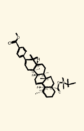 COC(=O)c1ccc(C2=CC[C@]3(C)[C@H]4CC=C5[C@@H]6[C@@H](C)CCC[C@]6(C(=O)O[Si](C)(C)C(C)(C)C)CC[C@@]5(C)[C@]4(C)CC[C@H]3C2(C)C)cc1